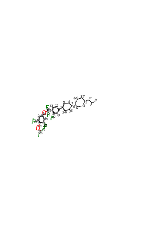 CCC[C@H]1CC[C@H](C2CCC(c3ccc(C(F)(F)Oc4cc(F)c(OC(F)F)c(F)c4)c(F)c3)CC2)CC1